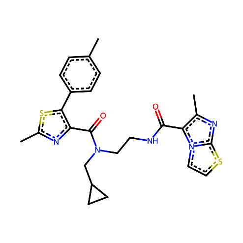 Cc1ccc(-c2sc(C)nc2C(=O)N(CCNC(=O)c2c(C)nc3sccn23)CC2CC2)cc1